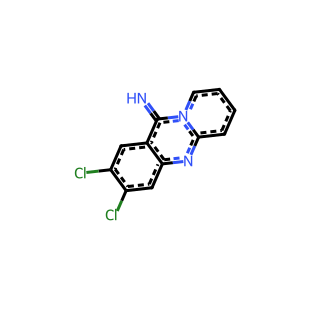 N=c1c2cc(Cl)c(Cl)cc2nc2ccccn12